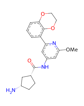 COc1cc(NC(=O)[C@@H]2CC[C@H](N)C2)cc(-c2cccc3c2OCCO3)n1